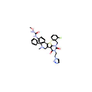 CONC(=O)Nc1ccc(-c2sc3c(c2CN(C)Cc2ccccc2)c(=O)n(CCn2ccnn2)c(=O)n3Cc2c(F)cccc2F)cc1